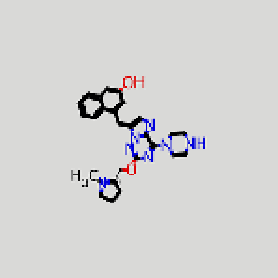 CN1CCC[C@H]1COc1nc(N2CCNCC2)c2ncc(Cc3cc(O)cc4ccccc34)n2n1